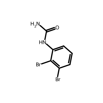 NC(=O)Nc1cccc(Br)c1Br